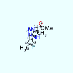 COC(=O)c1cn2ncnc(Nc3ccc(C)c(F)c3)c2c1C